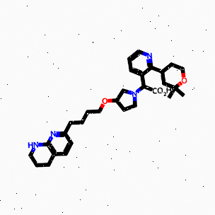 CC1(C)CC(c2ncccc2C(C(=O)O)N2CCC(OCCCCc3ccc4c(n3)NCCC4)C2)CCO1